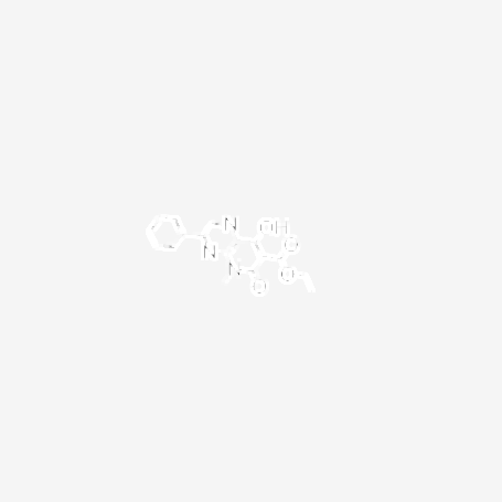 CCOC(=O)c1c(O)c2ncc(-c3ccccc3)nc2n(C)c1=O